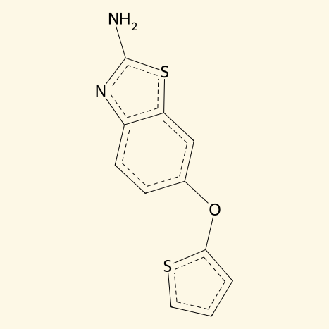 Nc1nc2ccc(Oc3cccs3)cc2s1